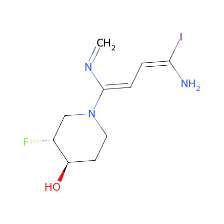 C=N/C(=C\C=C(/N)I)N1CC[C@@H](O)[C@H](F)C1